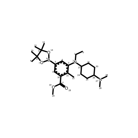 CCN(c1cc(B2OC(C)(C)C(C)(C)O2)cc(C(=O)OC)c1C)C1CCC(N(C)C)CC1